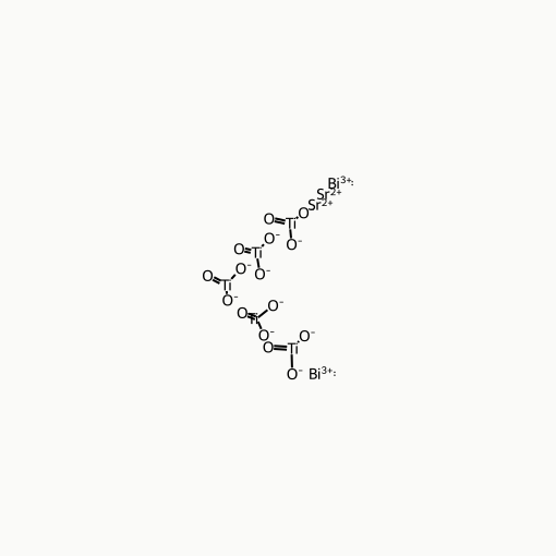 [Bi+3].[Bi+3].[O]=[Ti]([O-])[O-].[O]=[Ti]([O-])[O-].[O]=[Ti]([O-])[O-].[O]=[Ti]([O-])[O-].[O]=[Ti]([O-])[O-].[Sr+2].[Sr+2]